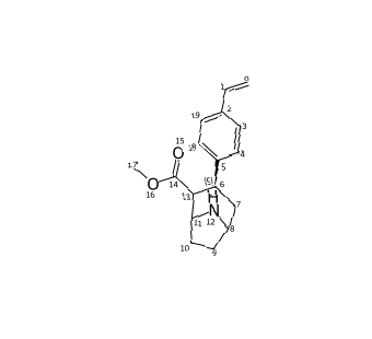 C=Cc1ccc([C@H]2CC3CCC(N3)C2C(=O)OC)cc1